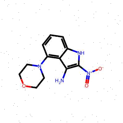 Nc1c([N+](=O)[O-])[nH]c2cccc(N3CCOCC3)c12